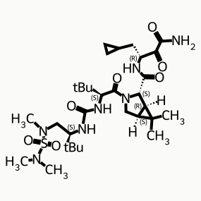 CN(C)S(=O)(=O)N(C)C[C@@H](NC(=O)N[C@H](C(=O)N1C[C@H]2[C@@H]([C@H]1C(=O)N[C@H](CC1CC1)C(=O)C(N)=O)C2(C)C)C(C)(C)C)C(C)(C)C